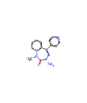 CN1C(=O)[C@@H](N)N=C(c2ccncc2)c2ccccc21